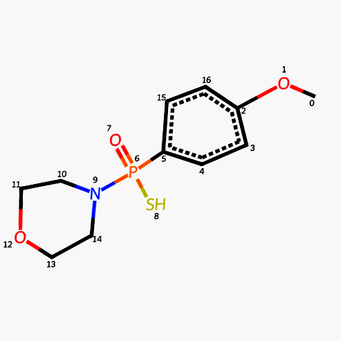 COc1ccc(P(=O)(S)N2CCOCC2)cc1